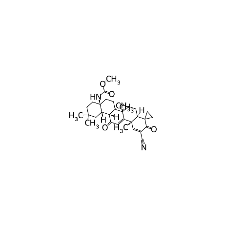 COC(=O)N[C@]12CCC(C)(C)C[C@H]1[C@H]1C(=O)C=C3[C@@]4(C)C=C(C#N)C(=O)C5(CC5)[C@@H]4CC[C@@]3(C)[C@]1(C)CC2